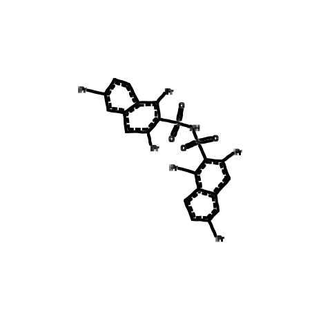 CC(C)c1ccc2c(C(C)C)c(S(=O)(=O)NS(=O)(=O)c3c(C(C)C)cc4cc(C(C)C)ccc4c3C(C)C)c(C(C)C)cc2c1